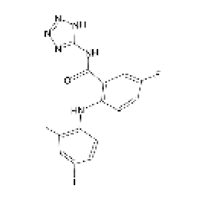 Cc1cc(I)ccc1Nc1ccc(F)cc1C(=O)Nc1nnn[nH]1